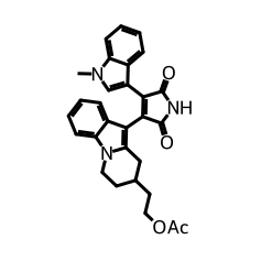 CC(=O)OCCC1CCn2c(c(C3=C(c4cn(C)c5ccccc45)C(=O)NC3=O)c3ccccc32)C1